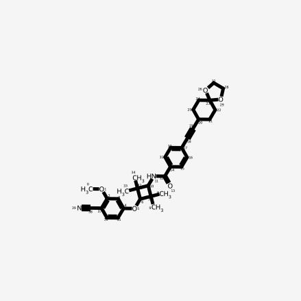 COc1cc(OC2C(C)(C)C(NC(=O)c3ccc(C#CC4CCC5(CC4)OCCO5)cc3)C2(C)C)ccc1C#N